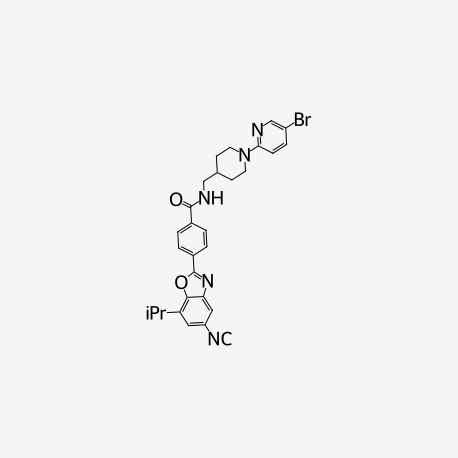 [C-]#[N+]c1cc(C(C)C)c2oc(-c3ccc(C(=O)NCC4CCN(c5ccc(Br)cn5)CC4)cc3)nc2c1